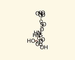 O=C(CCc1ccc(SC(=O)CCOCCNC(=S)Nc2ccc3c(c2)C(=O)OC32c3ccc(O)cc3Oc3cc(O)ccc32)cc1)ON1C(=O)CCC1=O